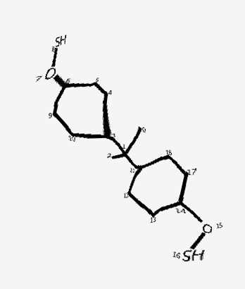 CC(C)(C1CCC(OS)CC1)C1CCC(OS)CC1